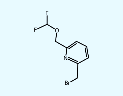 FC(F)OCc1cccc(CBr)n1